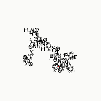 CC(C)[C@H](NC(=O)CCCCCN1C(=O)C=CC1=O)C(=O)N[C@@H](CCCNC(N)=O)C(=O)Nc1ccc(COC(=O)N2C[C@@H](CN(C(=O)c3ccccn3)[C@@H](c3nc(-c4cc(F)ccc4F)cn3Cc3ccccc3)C3CCOCC3)C[C@H]2CF)cc1